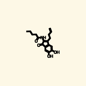 C=CCCC1=C(NC(=O)CCCC)C(=O)c2cc(O)c(O)cc21